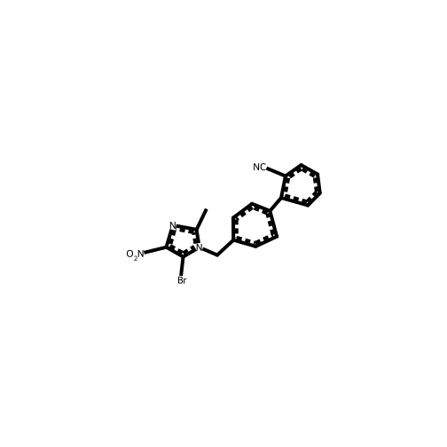 Cc1nc([N+](=O)[O-])c(Br)n1Cc1ccc(-c2ccccc2C#N)cc1